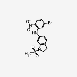 CS(=O)(=O)N1CCc2ccc(Nc3cc(Br)ccc3[N+](=O)[O-])cc21